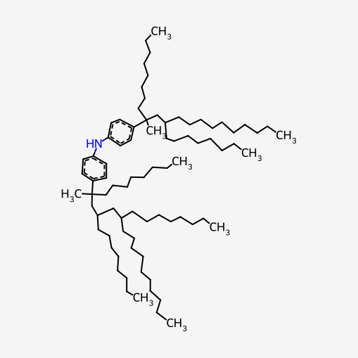 CCCCCCCCCCC(CCCCCCCC)CC(CCCCCCCC)CC(C)(CCCCCCCC)c1ccc(Nc2ccc(C(C)(CCCCCCCC)CC(CCCCCCCC)CCCCCCCCCC)cc2)cc1